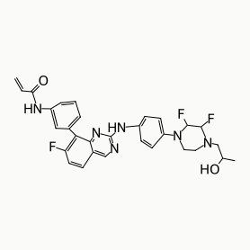 C=CC(=O)Nc1cccc(-c2c(F)ccc3cnc(Nc4ccc(N5CCN(CC(C)O)C(F)C5F)cc4)nc23)c1